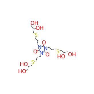 O=c1n(CCCSCC(O)CO)c(=O)n(CCCSCC(O)CO)c(=O)n1CCCSCC(O)CO